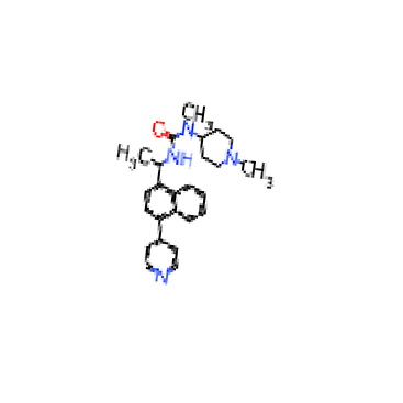 CC(NC(=O)N(C)C1CCN(C)CC1)c1ccc(-c2ccncc2)c2ccccc12